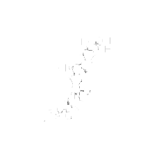 CC(C)(O)c1ccc(-c2cc(Cl)c3ccc(C(=O)N4CCN(C(=O)OCCF)CC4)cc3n2)cc1